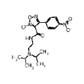 CC(C)N(CCNC(=O)c1c(-c2ccc([N+](=O)[O-])cc2)no[n+]1[O-])C(C)C